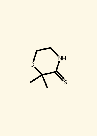 CC1(C)OCCNC1=S